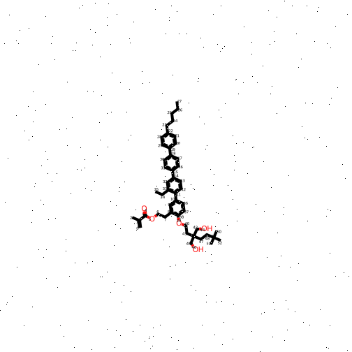 C=C(C)C(=O)OCCc1cc(-c2ccc(-c3ccc(-c4ccc(CCCCC)cc4)cc3)cc2CC)ccc1OCCC(CO)(CO)CCC(C)(C)C